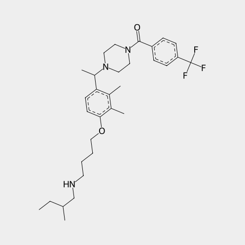 CCC(C)CNCCCCOc1ccc(C(C)N2CCN(C(=O)c3ccc(C(F)(F)F)cc3)CC2)c(C)c1C